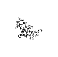 CCc1ccc2c(c1)[C@@H](NC[C@@H](O)[C@H](Cc1cc(F)cc(F)c1)Nc1ccnc(Cl)n1)CCC2